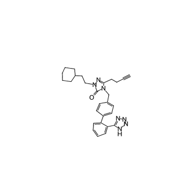 C#CCCc1nn(CCC2CCCCC2)c(=O)n1Cc1ccc(-c2ccccc2-c2nnn[nH]2)cc1